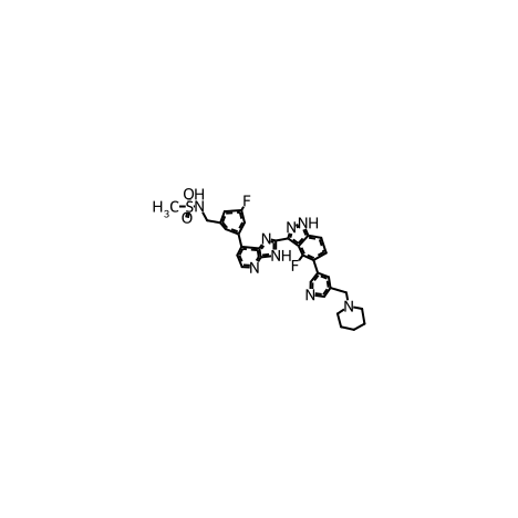 CS(=O)(=O)NCc1cc(F)cc(-c2ccnc3[nH]c(-c4n[nH]c5ccc(-c6cncc(CN7CCCCC7)c6)c(F)c45)nc23)c1